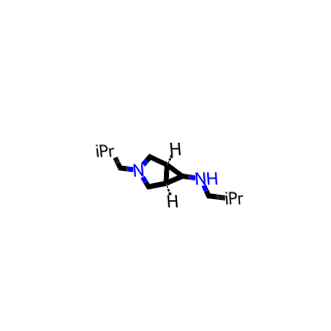 CC(C)CNC1[C@H]2CN(CC(C)C)C[C@@H]12